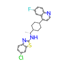 C[C@@H](Nc1nc2ccc(Cl)cc2s1)C1CCC(c2ccnc3ccc(F)cc23)CC1